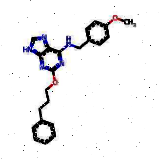 COc1ccc(CNc2nc(OCCCc3ccccc3)nc3[nH]cnc23)cc1